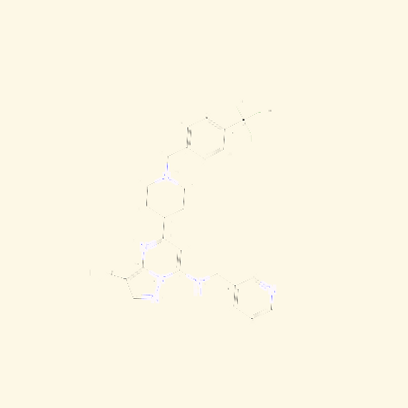 Bc1cnn2c(NCc3cccnc3)cc(C3CCN(Cc4ccc(C(F)(F)F)cc4)CC3)nc12